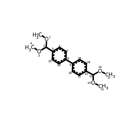 COC(OC)c1ccc(-c2ccc(C(OC)OC)cc2)cc1